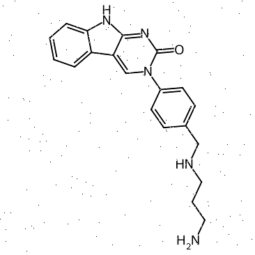 NCCCNCc1ccc(-n2cc3c(nc2=O)[nH]c2ccccc23)cc1